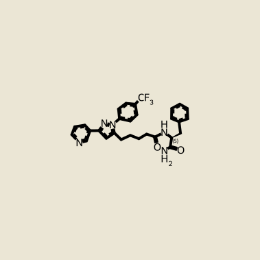 NC(=O)[C@H](Cc1ccccc1)NC(=O)CCCCc1cc(-c2cccnc2)nn1-c1ccc(C(F)(F)F)cc1